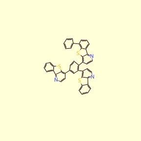 c1ccc(-c2cccc3c2sc2c(-c4ccc(-c5ccnc6c5sc5ccccc56)cc4-c4ccnc5c4sc4ccccc45)ccnc23)cc1